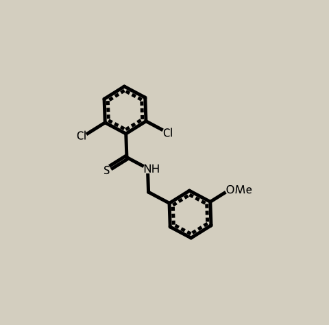 COc1cccc(CNC(=S)c2c(Cl)cccc2Cl)c1